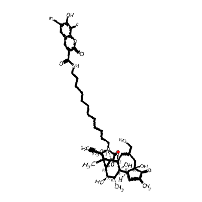 C#CCN(CCCCCCCCCCCCNC(=O)c1cc2cc(F)c(O)c(F)c2oc1=O)C(=O)O[C@@]12[C@H](O)[C@@H](C)[C@@]3(O)[C@@H](C=C(CO)C[C@]4(O)C(=O)C(C)=C[C@@H]34)[C@]1(C)C2(C)C